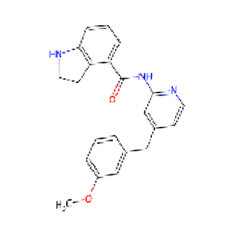 COc1cccc(Cc2ccnc(NC(=O)c3cccc4c3CCN4)c2)c1